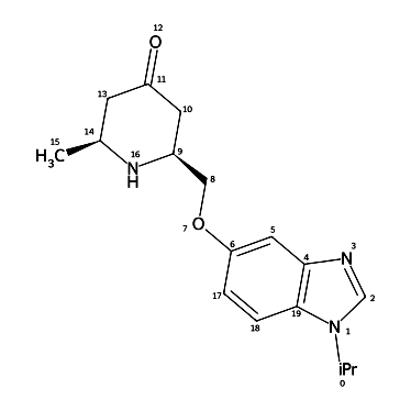 CC(C)n1cnc2cc(OC[C@@H]3CC(=O)C[C@H](C)N3)ccc21